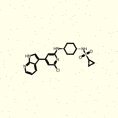 O=S(=O)(N[C@H]1CC[C@H](Nc2cc(-c3c[nH]c4ncccc34)cc(Cl)n2)CC1)C1CC1